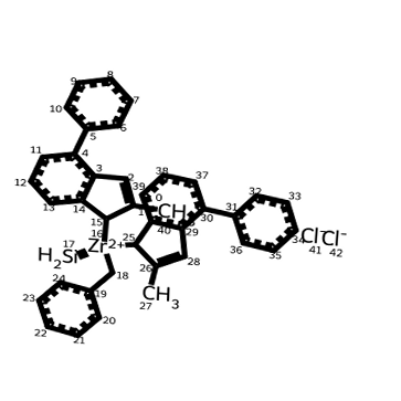 CC1=Cc2c(-c3ccccc3)cccc2[CH]1[Zr+2](=[SiH2])([CH2]c1ccccc1)[CH]1C(C)=Cc2c(-c3ccccc3)cccc21.[Cl-].[Cl-]